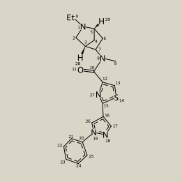 CCN1C[C@@H]2C[C@H]1CC2N(C)C(=O)c1csc(-c2cnn(-c3ccccc3)c2)n1